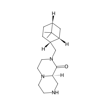 CC1(C)[C@@H]2CC[C@@H](CN3CCN4CCNC[C@@H]4C3=O)[C@H]1C2